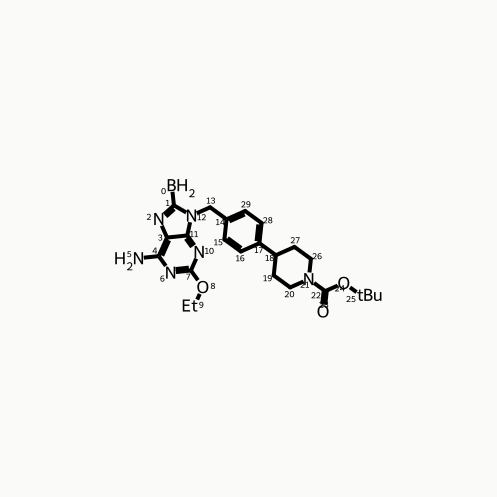 Bc1nc2c(N)nc(OCC)nc2n1Cc1ccc(C2CCN(C(=O)OC(C)(C)C)CC2)cc1